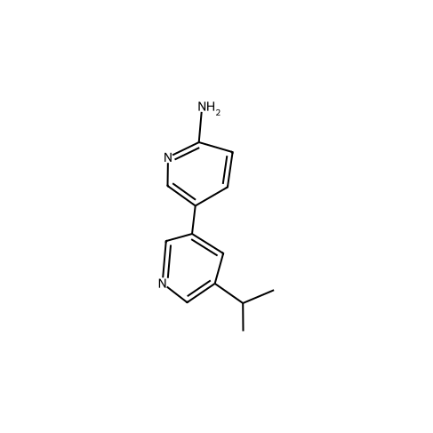 CC(C)c1cncc(-c2ccc(N)nc2)c1